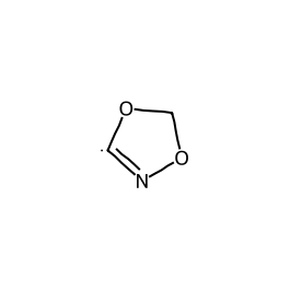 [C]1=NOCO1